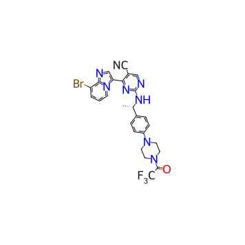 C[C@H](Nc1ncc(C#N)c(-c2cnc3c(Br)cccn23)n1)c1ccc(N2CCN(C(=O)C(F)(F)F)CC2)cc1